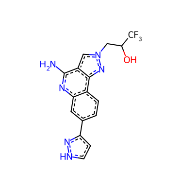 Nc1nc2cc(-c3cc[nH]n3)ccc2c2nn(CC(O)C(F)(F)F)cc12